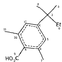 CCC(C)(C)c1cc(C)c(C(=O)O)c(C)c1